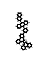 c1cc(-c2ccc3c4ccccc4c4c(oc5c6ccccc6c6ccccc6c54)c3c2)cc(-c2c3ccccc3c(-c3ccc4ccccc4c3)c3ccccc23)c1